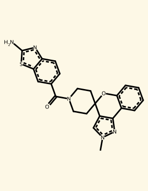 Cn1cc2c(n1)-c1ccccc1OC21CCN(C(=O)c2ccc3nc(N)sc3c2)CC1